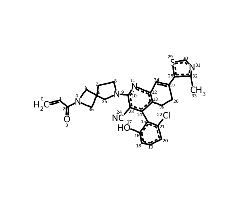 C=CC(=O)N1CC2(CCN(c3nc4c(c(-c5c(O)cccc5Cl)c3C#N)CCC(c3scnc3C)=C4)C2)C1